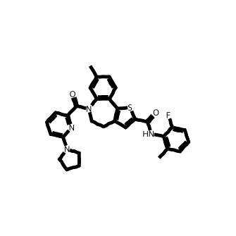 Cc1ccc2c(c1)N(C(=O)c1cccc(N3CCCC3)n1)CCc1cc(C(=O)Nc3c(C)cccc3F)sc1-2